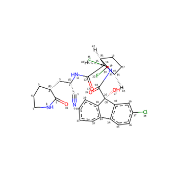 N#C[C@H](C[C@H]1CCCNC1=O)NC(=O)[C@H]1[C@H]2CC[C@H](CC2(F)F)N1C(=O)[C@]1(O)c2ccccc2-c2ccc(Cl)cc21